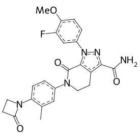 COc1ccc(-n2nc(C(N)=O)c3c2C(=O)N(c2ccc(N4CCC4=O)c(C)c2)CC3)cc1F